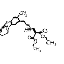 CCOC(=O)C(=CNCCCc1cc2c(cc1C)SC1=NCCCN12)C(=O)OCC